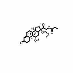 CCC(=O)OCC(=O)[C@@]1(OCOC)[C@@H](C)C[C@H]2[C@@H]3CCC4=CC(=O)CC[C@]4(C)[C@@]3(F)[C@@H](O)C[C@@]21C